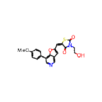 COc1ccc(-c2cncc3cc(C=C4SC(=O)N(CCO)C4=O)oc23)cc1